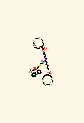 CC(C)(C)[Si](OCCSCCNC(CCCCCOC(=O)C1CCCCCCCCCCCCCC1)CCCCCOC(=O)C1CCCCCCCCCCCCCC1)(c1ccccc1)c1ccccc1